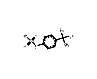 CC(C)(C)c1ccc(OS(=O)(=O)O)cc1